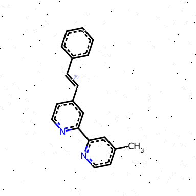 Cc1ccnc(-c2cc(/C=C/c3ccccc3)ccn2)c1